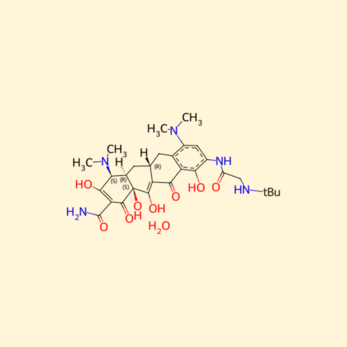 CN(C)c1cc(NC(=O)CNC(C)(C)C)c(O)c2c1C[C@H]1C[C@@H]3[C@H](N(C)C)C(O)=C(C(N)=O)C(=O)[C@@]3(O)C(O)=C1C2=O.O